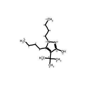 CCCCc1c(C(C)(C)C)c(O)nn1CCCC